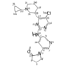 O=C1CCCN1c1cncc(Nc2ncc(Cl)c(C3CCCN(C4CC4)C3)n2)c1